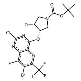 CC(C)(C)OC(=O)N1C[C@@H](F)[C@@H](Oc2nc(Cl)nc3c(F)c(Br)c(C(F)(F)F)cc23)C1